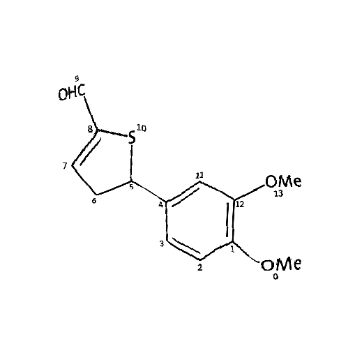 COc1ccc(C2CC=C(C=O)S2)cc1OC